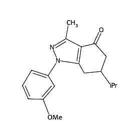 COc1cccc(-n2nc(C)c3c2CC(C(C)C)CC3=O)c1